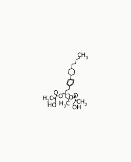 C=C(CO)C(=O)OCC(CCC)(CCc1ccc(C2CCC(CCCCC)CC2)cc1)COC(=O)C(=C)CO